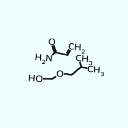 C=CC(N)=O.CC(C)COCO